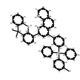 Cc1cccc([Si](c2ccccc2)(c2ccccc2)c2cccc(-c3cc(-c4cccc5c4Sc4ccccc4C5(C)C)nc4c3ccc3cccnc34)c2)c1